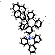 c1ccc2c(c1)-c1ccccc1N(c1ccc3c(c1)-c1ccccc1-c1ccccc1C31c3ccccc3-c3c1cc1ccc4cccc5ccc3c1c45)c1ccccc1-2